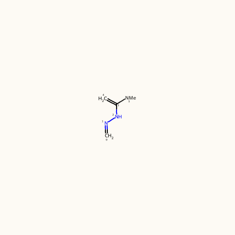 C=NNC(=C)NC